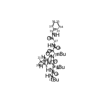 CCCCC(NC(=O)[C@@H]1[C@H]2[C@@H](CN1C(=O)[C@@H](NC(=O)NC(C)(C)C)C(C)(C)C)C2(C)C)C(=O)C(=O)NCC(=O)NCc1ccccc1